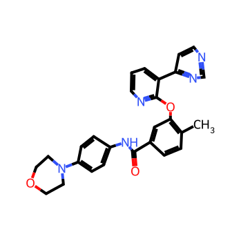 Cc1ccc(C(=O)Nc2ccc(N3CCOCC3)cc2)cc1Oc1ncccc1-c1ccncn1